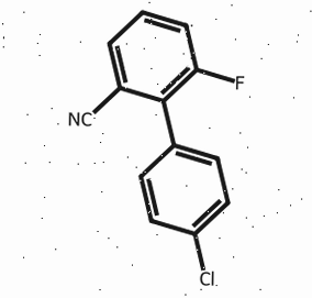 N#Cc1cc[c]c(F)c1-c1ccc(Cl)cc1